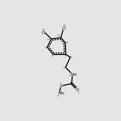 CC(C)(C)OC(=O)NCCc1ccc(Cl)c(Cl)c1